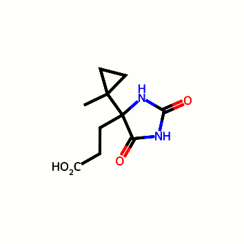 CC1(C2(CCC(=O)O)NC(=O)NC2=O)CC1